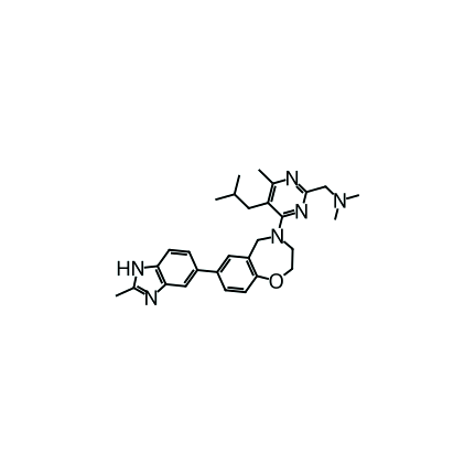 Cc1nc2cc(-c3ccc4c(c3)CN(c3nc(CN(C)C)nc(C)c3CC(C)C)CCO4)ccc2[nH]1